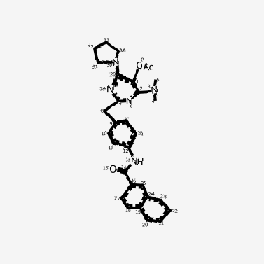 CC(=O)Oc1c(N(C)C)nc(Cc2ccc(NC(=O)c3ccc4ccccc4c3)cc2)nc1N1CCCC1